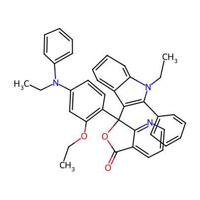 CCOc1cc(N(CC)c2ccccc2)ccc1C1(c2c(-c3ccccc3)n(CC)c3ccccc23)OC(=O)c2cccnc21